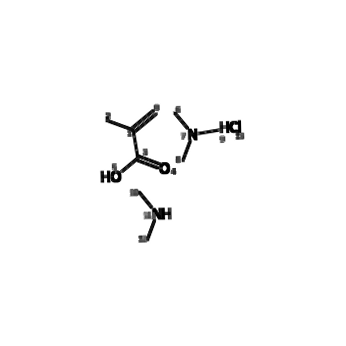 C=C(C)C(=O)O.CN(C)C.CNC.Cl